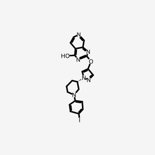 Oc1nc(Oc2cnn([C@H]3CCCN(c4ccc(I)cc4)C3)c2)nc2cnccc12